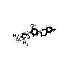 Cc1cc(N2CCc3cc(F)ccc3C2)ccc1NC(=O)CC(C)(C)C